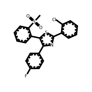 CS(=O)(=O)c1ccccc1-c1sc(-c2ccccc2Cl)nc1-c1ccc(F)cc1